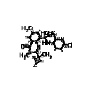 Cc1cc([C@@H](C)Nc2ccc(Cl)nc2C(=O)O)c2nc(C3(C)CCC3)n(C)c(=O)c2c1